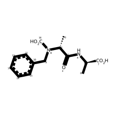 C[C@H](C(=O)N[C@H](C)C(=O)O)N(Cc1ccccc1)C(=O)O